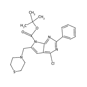 CC(C)(C)OC(=O)n1c(CN2CCSCC2)cc2c(Cl)nc(-c3ccccc3)nc21